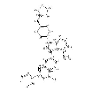 C/C=C\C(=C/C)c1cc(C)c2ccc(-c3nc([C@H]4CC[C@H](CN5CCCC5)CC4)n4ccnc(N)c34)cc2n1